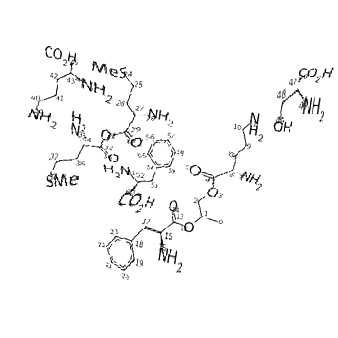 CC(COC(=O)[C@@H](N)CCCN)OC(=O)[C@@H](N)Cc1ccccc1.CSCC[C@H](N)C(=O)OC(=O)[C@@H](N)CCSC.NCCC[C@H](N)C(=O)O.N[C@@H](CO)C(=O)O.N[C@@H](Cc1ccccc1)C(=O)O